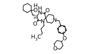 CCCCN1C(=O)[C@@H](CC2(O)CCCCC2)NC(=O)C12CCN(Cc1ccc(OC3CCOCC3)cc1)CC2